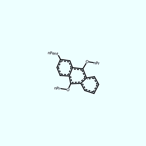 CCCCCc1ccc2c(OCCC)c3ccccc3c(OCCC)c2c1